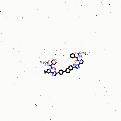 COC(=O)NC(C(=O)N1CCCC1c1ncc(-c2ccc3cc(-c4ccc(-c5cnc(C6CC7(CC7)CN6C(=O)C(NC(=O)OC)C6CCOCC6)[nH]5)cc4)ccc3c2)[nH]1)c1ccccc1